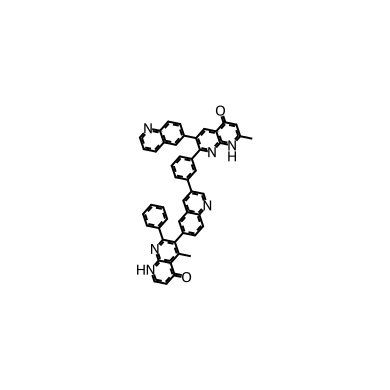 Cc1cc(=O)c2cc(-c3ccc4ncccc4c3)c(-c3cccc(-c4cnc5ccc(-c6c(-c7ccccc7)nc7[nH]ccc(=O)c7c6C)cc5c4)c3)nc2[nH]1